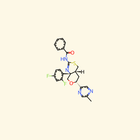 Cc1cnc([C@H]2C[C@H]3CSC(NC(=O)c4ccccc4)=N[C@@]3(c3ccc(F)cc3F)CO2)cn1